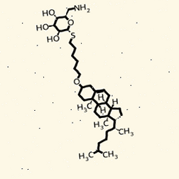 CC(C)CCC[C@@H](C)[C@H]1CC[C@H]2[C@@H]3CC=C4CC(OCCCCCCS[C@H]5O[C@H](CN)[C@@H](O)[C@H](O)[C@@H]5O)CC[C@]4(C)[C@H]3CC[C@]12C